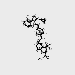 O=C(O)c1cc(C(F)(F)F)c2cc(OCC34CCC(C=Cc5c(-c6c(Cl)cncc6Cl)noc5C5CC5)(CC3)CO4)ccc2n1